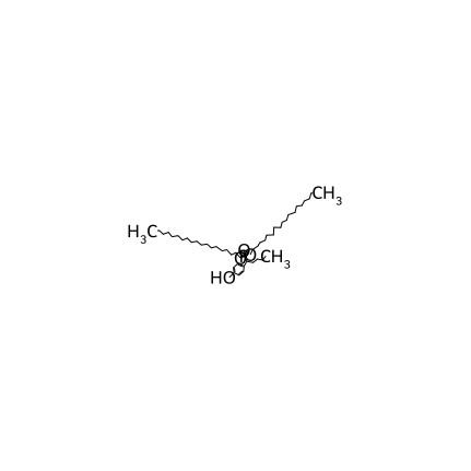 CCCCCCCCCCCCCCCCCCOP(=O)(OCCCCCCCCCCCCCCCCCC)C(CCCC)c1ccc(O)cc1